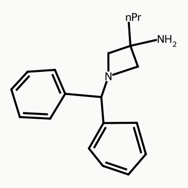 CCCC1(N)CN(C(c2ccccc2)c2ccccc2)C1